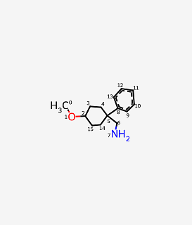 COC1CCC(CN)(c2ccccc2)CC1